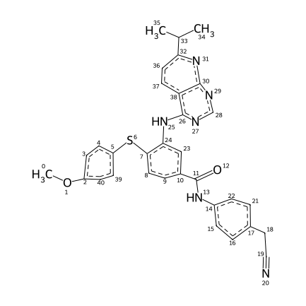 COc1ccc(Sc2ccc(C(=O)Nc3ccc(CC#N)cc3)cc2Nc2ncnc3nc(C(C)C)ccc23)cc1